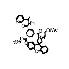 COCCCCC1(CNC(=O)[C@H]2C[C@@H](C(=O)NC(C)c3cccnc3)CN(C(=O)OC(C)(C)C)C2)c2ccccc2Oc2ccccc21